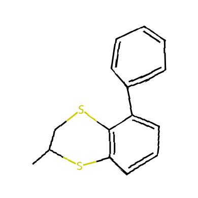 CC1CSc2c(cccc2-c2ccccc2)S1